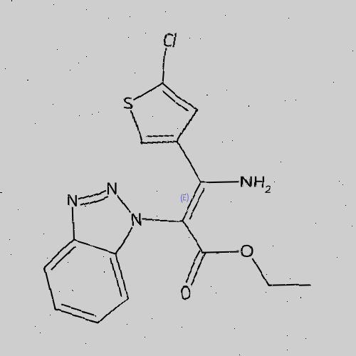 CCOC(=O)/C(=C(\N)c1csc(Cl)c1)n1nnc2ccccc21